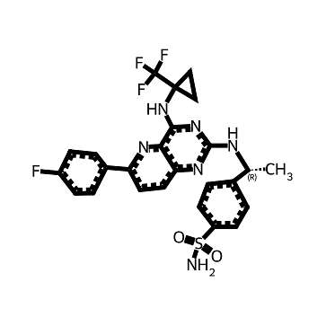 C[C@@H](Nc1nc(NC2(C(F)(F)F)CC2)c2nc(-c3ccc(F)cc3)ccc2n1)c1ccc(S(N)(=O)=O)cc1